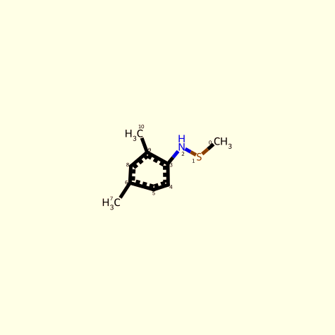 CSNc1ccc(C)cc1C